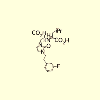 CC(C)C[C@H](N[C@@H](Cn1ccn(CCc2cccc(F)c2)c1=O)C(=O)O)C(=O)O